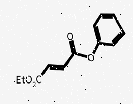 CCOC(=O)C=CC(=O)Oc1ccccc1